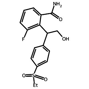 CCS(=O)(=O)c1ccc(C(CO)c2c(F)cccc2C(N)=O)cc1